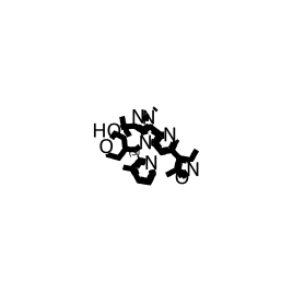 Cc1cccnc1[C@H](C1CCOCC1)n1c2cc(-c3c(C)noc3C)cnc2c2c1c(C(C)(C)O)nn2C